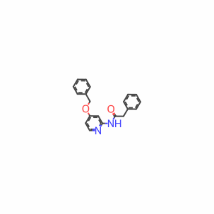 O=C(Cc1ccccc1)Nc1cc(OCc2ccccc2)ccn1